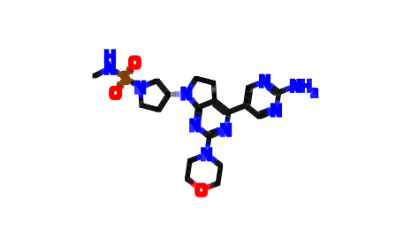 CNS(=O)(=O)N1CC[C@@H](N2CCc3c(-c4cnc(N)nc4)nc(N4CCOCC4)nc32)C1